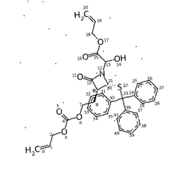 C=CCOC(=O)OCC[C@H]1C(=O)N(C(O)C(=O)OCC=C)[C@@H]1SC(c1ccccc1)(c1ccccc1)c1ccccc1